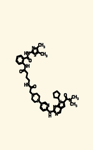 Cc1nc(NC(=O)c2ccccc2NC(=O)CCCNC(=O)CN2CCN(c3ccc(Nc4ncc5cc(C(=O)N(C)C)n(C6CCCC6)c5n4)nc3)CC2)sc1C